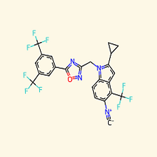 [C-]#[N+]c1ccc2c(cc(C3CC3)n2Cc2noc(-c3cc(C(F)(F)F)cc(C(F)(F)F)c3)n2)c1C(F)(F)F